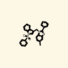 Cc1ccc2c(c1)nc(-c1ccccc1)n2Cc1cn(S(=O)(=O)c2ccccc2)c2ccccc12